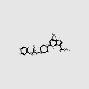 COC(=O)c1csc2c(C(F)(F)F)cc(N3CCN(CC(=O)Nc4ccccc4)CC3)nc12